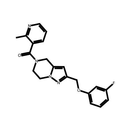 Cc1ncccc1C(=O)N1CCn2nc(COc3cccc(F)c3)cc2C1